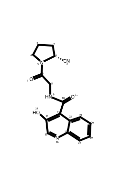 N#C[C@H]1CCCN1C(=O)CNC(=O)c1c(O)cnc2ccccc12